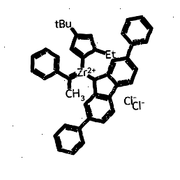 CCC1C=C(C(C)(C)C)C=[C]1/[Zr+2](=[C](/C)c1ccccc1)[CH]1c2cc(-c3ccccc3)ccc2-c2ccc(-c3ccccc3)cc21.[Cl-].[Cl-]